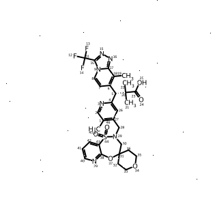 Cc1cnc([C@H](c2ccn3c(C(F)(F)F)nnc3c2C)C(C)(C)C(=O)O)cc1CN1CC2(CCOCC2)Oc2ncccc2S1(=O)=O